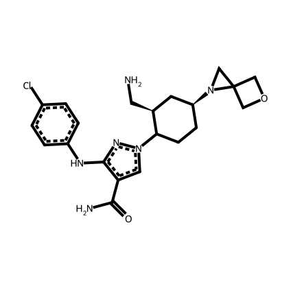 NC[C@H]1C[C@@H](N2CC23COC3)CCC1n1cc(C(N)=O)c(Nc2ccc(Cl)cc2)n1